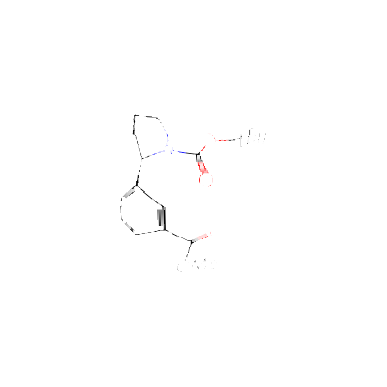 COC(=O)c1cccc([C@H]2CCCN2C(=O)OC(C)(C)C)c1